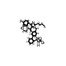 C=C(c1c(-c2ccc(F)cc2)nc(CCCC)n1Cc1ccc(-c2ccccc2-c2noc(=O)[nH]2)cc1)N1CCOCC1